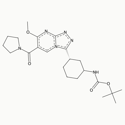 COc1nc2nnc([C@H]3CCCC(NC(=O)OC(C)(C)C)C3)n2cc1C(=O)N1CCCC1